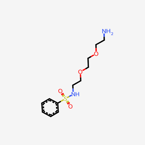 NCCOCCOCCNS(=O)(=O)c1ccccc1